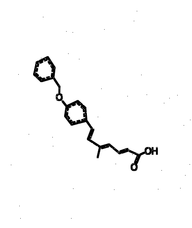 CC(C=Cc1ccc(OCc2ccccc2)cc1)=CC=CC(=O)O